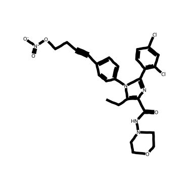 CCc1c(C(=O)NN2CCOCC2)nc(-c2ccc(Cl)cc2Cl)n1-c1ccc(C#CCCO[N+](=O)[O-])cc1